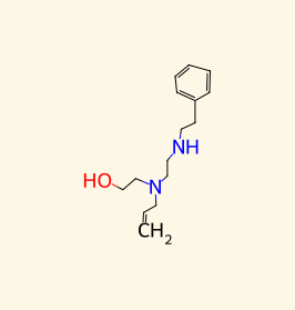 C=CCN(CCO)CCNCCc1ccccc1